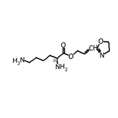 C1=NCCO1.C=CCOC(=O)[C@@H](N)CCCCN